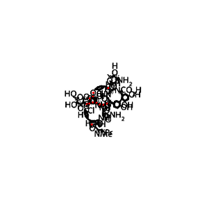 CN[C@H](CC(C)C)C(=O)N[C@H]1C(=O)N[C@@H](CC(N)=O)C(=O)N[C@H]2C(=O)N[C@H]3C(=O)N[C@H](C(=O)N[C@H](C(=O)O)c4cc(O)cc(O)c4-c4cc3ccc4O)[C@H](O[C@H]3C[C@](C)(N)[C@@H](O)[C@H](C)O3)c3ccc(c(Cl)c3)Oc3cc2cc(c3O[C@@H]2O[C@H](CO)[C@@H](O)[C@H](O)[C@H]2O[C@H]2C[C@](C)(N)[C@@H](O)[C@H](C)O2)Oc2ccc(cc2Cl)[C@H]1O